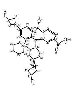 O=C(O)c1ccc(C(=O)[O-])c(C2=C3C=CC(=[N+]4CC(F)C4)C=C3[Si]3(CCCCC3)c3cc(N4CC(F)C4)ccc32)c1